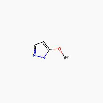 CC(C)OC1=CC=N[N]1